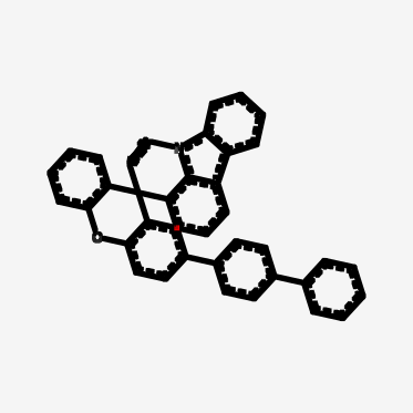 c1ccc(-c2ccc(-c3ccc4c(c3)C3(c5ccccc5O4)c4ccccc4-n4c5ccccc5c5cccc3c54)cc2)cc1